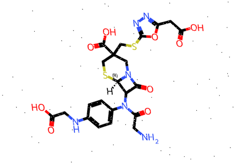 NCC(=O)N(c1ccc(NCC(=O)O)cc1)C1C(=O)N2CC(CSc3nnc(CC(=O)O)o3)(C(=O)O)CS[C@H]12